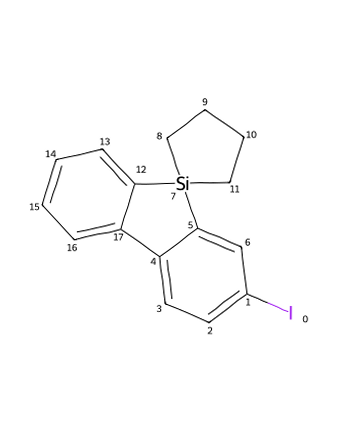 Ic1ccc2c(c1)[Si]1(CCCC1)c1ccccc1-2